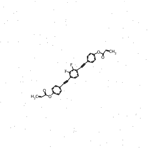 C=CC(=O)Oc1ccc(C#Cc2ccc(C#Cc3ccc(OC(=O)C=C)cc3)c(F)c2F)cc1